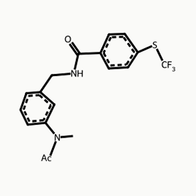 CC(=O)N(C)c1cccc(CNC(=O)c2ccc(SC(F)(F)F)cc2)c1